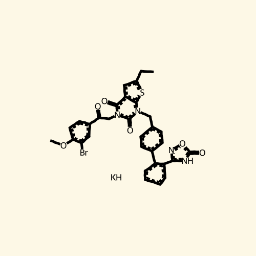 CCc1cc2c(=O)n(CC(=O)c3ccc(OC)c(Br)c3)c(=O)n(Cc3ccc(-c4ccccc4-c4noc(=O)[nH]4)cc3)c2s1.[KH]